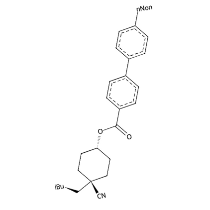 CCCCCCCCCc1ccc(-c2ccc(C(=O)O[C@H]3CC[C@@](C#N)(C[C@H](C)CC)CC3)cc2)cc1